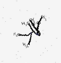 CCCCCCCCCCCC/C=C(\CCCCCCCCCCCC)CCN(CC/C=C1/CCCN(CCN(CCCCCC(=O)OCCCCC)CCCCCC(=O)OCCCCC)C1)CCCCCCCCCCCC